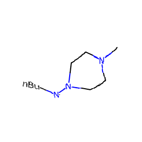 CCCC[N]N1CCN(C)CC1